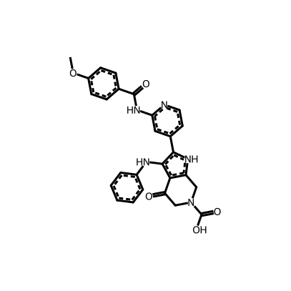 COc1ccc(C(=O)Nc2cc(-c3[nH]c4c(c3Nc3ccccc3)C(=O)CN(C(=O)O)C4)ccn2)cc1